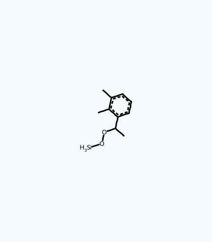 Cc1cccc(C(C)OO[SiH3])c1C